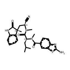 CC(C)C[C@@H](C(=O)N(C)[C@H](C#N)C[C@@]1(C)C(=O)Nc2ccccc21)N(C)C(=O)c1ccc2nc(N)sc2c1